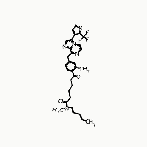 CCCCC[C@H](C)C(=O)CCCCC(=O)c1ccc(Cc2nccn3c(C4=CCN=C4C(F)(F)F)cnc23)cc1C